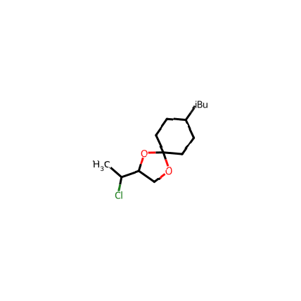 CCC(C)C1CCC2(CC1)OCC(C(C)Cl)O2